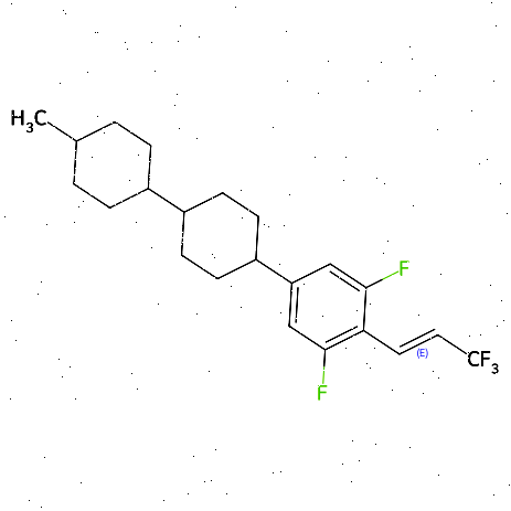 CC1CCC(C2CCC(c3cc(F)c(/C=C/C(F)(F)F)c(F)c3)CC2)CC1